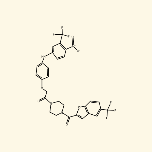 O=C(COc1ccc(Nc2ccc([N+](=O)[O-])c(C(F)(F)F)c2)cc1)N1CCN(C(=O)c2cc3cc(C(F)(F)F)ccc3o2)CC1